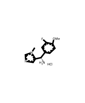 COc1ccc([C@H](N)c2cncn2C)cc1F.Cl